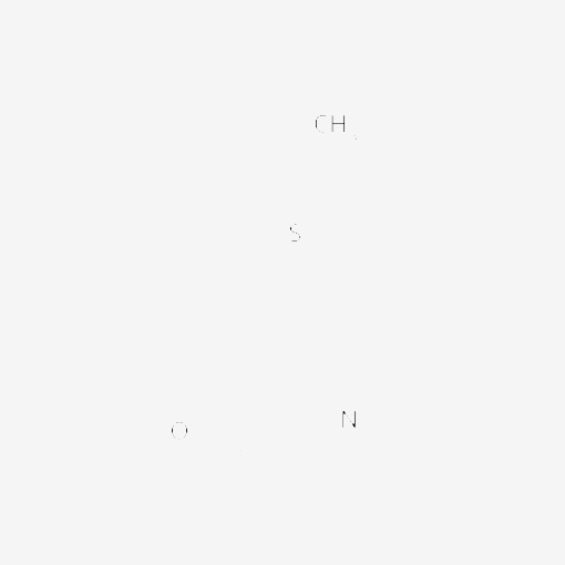 CCSc1ccnc(C=O)c1